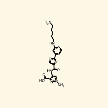 Cn1cc(NC(=O)c2coc(-c3ccnc(NCCCCCN)c3)n2)c(C(=O)O)n1